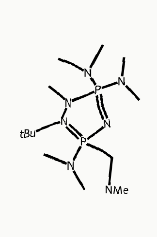 CNCP(=NC(C)(C)C)(N=P(N(C)C)(N(C)C)N(C)C)N(C)C